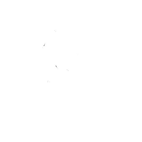 C#Cc1ccc2[nH]c3c(c2c1)C[C@@H](C)N(CC(F)(F)F)[C@@H]3c1c(F)cc(N[C@H]2CCN(CCCF)C2)cc1F